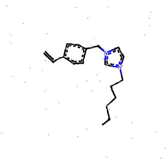 C=Cc1ccc(Cn2cc[n+](CCCCCC)c2)cc1